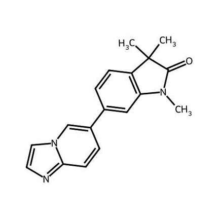 CN1C(=O)C(C)(C)c2ccc(-c3ccc4nccn4c3)cc21